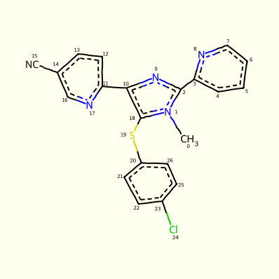 Cn1c(-c2ccccn2)nc(-c2ccc(C#N)cn2)c1Sc1ccc(Cl)cc1